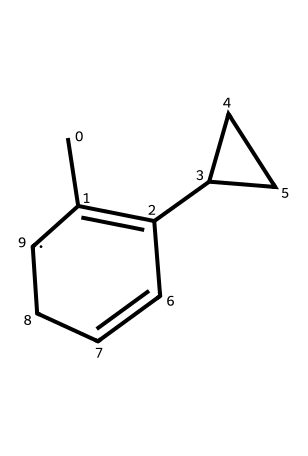 CC1=C(C2CC2)C=CC[CH]1